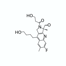 Cc1cc2c(CCCCO)c3c(nc2cc1F)[C@@](C)(C=O)N(C(=O)CCO)C3